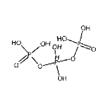 O=P(O)(O)O[PH](O)(O)OP(=O)(O)O